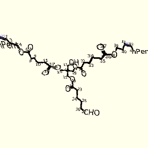 CCCCC/C=C\CCOC(=O)CCCCC(=O)OCC(CO)(COC(=O)CCCCC=O)COC(=O)CCCCC(=O)OCC/C=C\CCCCC